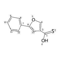 OC(=S)c1coc(-c2ccccc2)c1